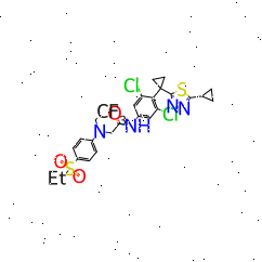 CCS(=O)(=O)c1ccc(N(CC(=O)Nc2cc(Cl)c(C3(c4nnc(C5CC5)s4)CC3)c(Cl)c2)CC(F)(F)F)cc1